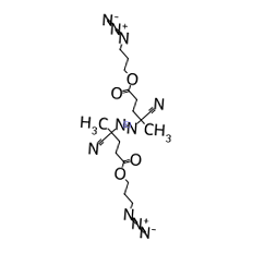 CC(C#N)(CCC(=O)OCCCN=[N+]=[N-])/N=N/C(C)(C#N)CCC(=O)OCCCN=[N+]=[N-]